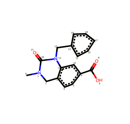 CN1Cc2ccc(C(=O)O)cc2N(Cc2ccccc2)C1=O